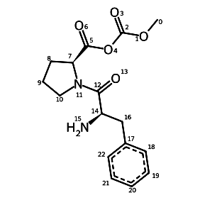 COC(=O)OC(=O)[C@@H]1CCCN1C(=O)[C@H](N)Cc1ccccc1